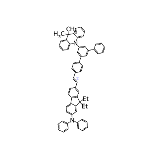 CCC1(CC)c2cc(/C=C/c3ccc(-c4cc(-c5ccccc5)cc(N5c6ccccc6C(C)(C)c6ccccc65)c4)cc3)ccc2-c2ccc(N(c3ccccc3)c3ccccc3)cc21